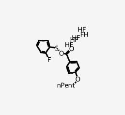 CCCCCOc1ccc(C(=O)OSc2ccccc2F)cc1.F.F.F.F.F